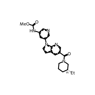 CC[C@@H]1CCCN(C(=O)c2cnc3c(ccn3-c3cncc(NC(=O)OC)c3)c2)C1